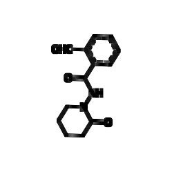 O=Cc1ccccc1C(=O)NN1CCCCC1=O